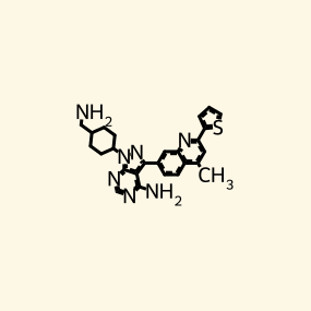 Cc1cc(-c2cccs2)nc2cc(-c3nn(C4CCC(CN)CC4)c4ncnc(N)c34)ccc12